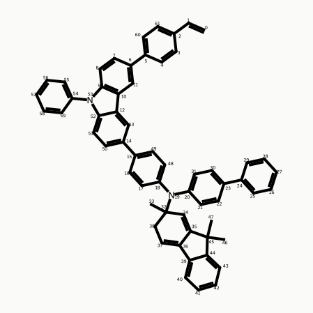 C=Cc1ccc(-c2ccc3c(c2)c2cc(-c4ccc(N(c5ccc(-c6ccccc6)cc5)C5(C)C=C6C(=CC5)c5ccccc5C6(C)C)cc4)ccc2n3-c2ccccc2)cc1